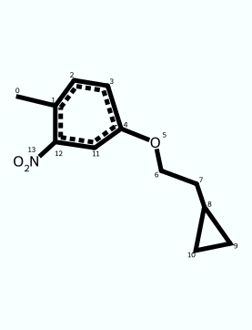 Cc1ccc(OCCC2CC2)cc1[N+](=O)[O-]